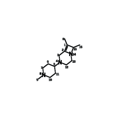 CC1=C2CN(C3CCN(C)CC3)CCN2C1C